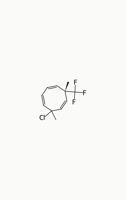 CC1(Cl)/C=C\C=C/[C@](C)(C(F)(F)F)/C=C\1